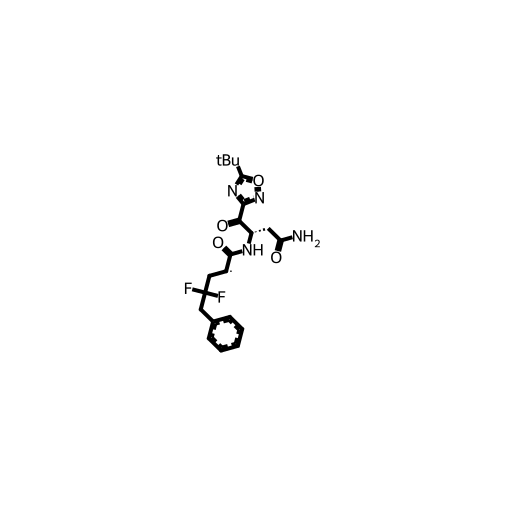 CC(C)(C)c1nc(C(=O)[C@H](CC(N)=O)NC(=O)[CH]CC(F)(F)Cc2ccccc2)no1